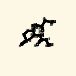 CC(C)(C)OC(=O)N[C@H]1CC(=O)CC[C@H]1NC(=O)OC(C)(C)C